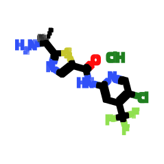 C[C@@H](N)c1ncc(C(=O)Nc2cc(C(F)(F)F)c(Cl)cn2)s1.Cl